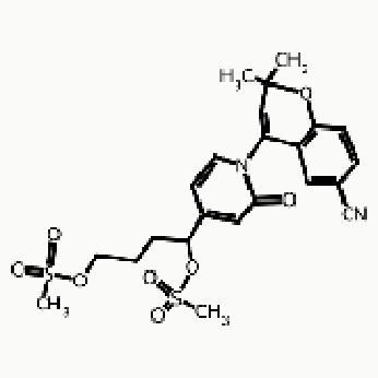 CC1(C)C=C(n2ccc(C(CCCOS(C)(=O)=O)OS(C)(=O)=O)cc2=O)c2cc(C#N)ccc2O1